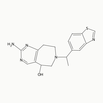 CC(c1ccc2scnc2c1)N1CCc2nc(N)ncc2C(O)C1